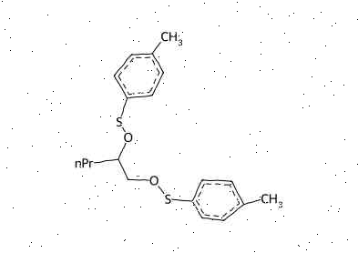 CCCC(COSc1ccc(C)cc1)OSc1ccc(C)cc1